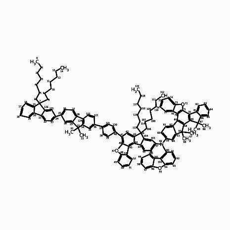 CCCCCCCC1(CCCCCCC)c2ccccc2-c2ccc(-c3ccc4c(c3)C(C)(C)c3cc(-c5ccc(-c6cc7c(c8c6oc6ccccc68)-c6ccc(N(c8ccc9c(c8)C(C)(C)c8c%10c(c%11oc%12ccccc%12c%11c8-9)-c8ccccc8C%10(C)C)c8cccc9oc%10ccccc%10c89)cc6C7(CCCCCCC)CCCCCCC)cc5)ccc3-4)cc21